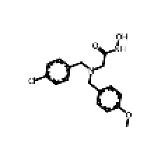 COc1ccc(CN(CC(=O)NO)Cc2ccc(Cl)cc2)cc1